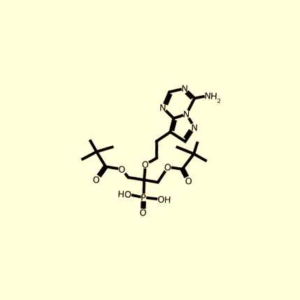 CC(C)(C)C(=O)OCC(COC(=O)C(C)(C)C)(OCCc1cnn2c(N)ncnc12)P(=O)(O)O